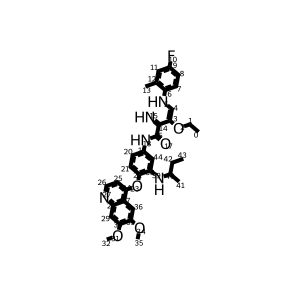 CCO/C(=C/Nc1ccc(F)cc1C)C(=N)C(=O)Nc1ccc(Oc2ccnc3cc(OC)c(OC)cc23)c(NC(C)CC)c1